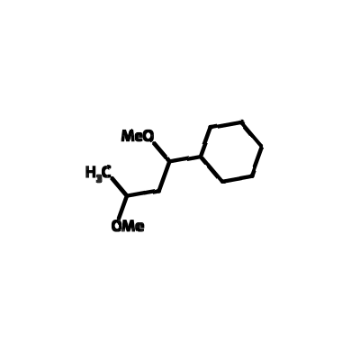 COC(C)CC(OC)C1CCCCC1